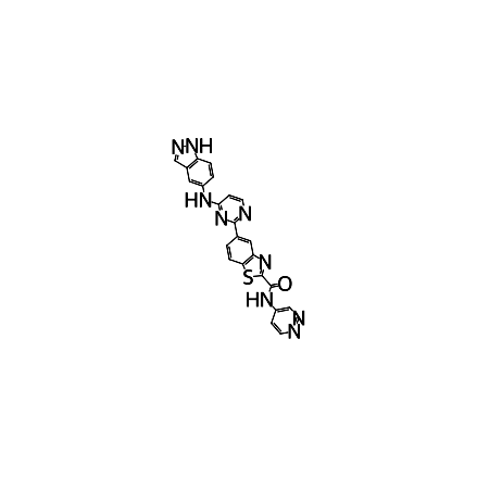 O=C(Nc1ccnnc1)c1nc2cc(-c3nccc(Nc4ccc5[nH]ncc5c4)n3)ccc2s1